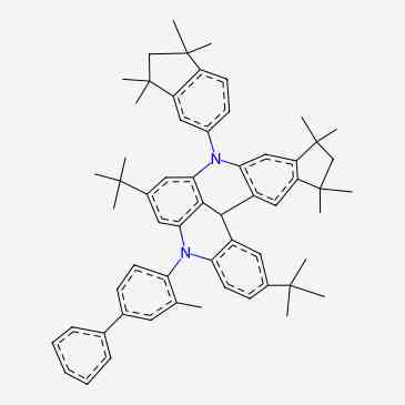 Cc1cc(-c2ccccc2)ccc1N1c2ccc(C(C)(C)C)cc2C2c3cc4c(cc3N(c3ccc5c(c3)C(C)(C)CC5(C)C)c3cc(C(C)(C)C)cc1c32)C(C)(C)CC4(C)C